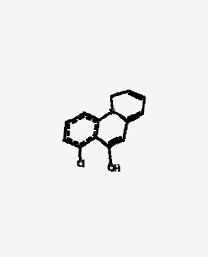 OC1=CC2=CC=CCN2c2cccc(Cl)c21